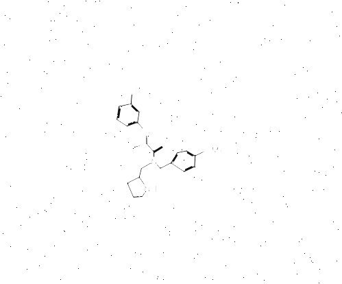 COc1ccc(CN(CC2CCCN2)C(=O)[C@@H](C)Oc2cccc(Cl)c2)cc1